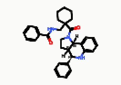 O=C(NCC1(C(=O)N2CC[C@H]3[C@@H](c4ccccc4)Nc4ccccc4[C@H]32)CCCCC1)c1ccccc1